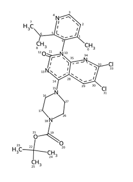 Cc1ccnc(C(C)C)c1-n1c(=O)nc(N2CCN(C(=O)OC(C)(C)C)CC2)c2cc(Cl)c(Cl)nc21